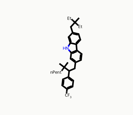 CCCCCC(C)(C)C(Cc1ccc2c(c1)[nH]c1cc(CC(C)(CC)CC)ccc12)c1ccc(C(F)(F)F)cc1